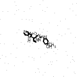 COc1nc(N[C@H]2CC[C@](C)(O)CC2)nn2ccc(-c3cc4cnccc4[nH]3)c12